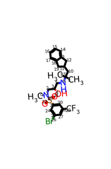 CN(CC(O)CNC(C)(C)CC1Cc2ccccc2C1)S(=O)(=O)c1cc(Br)cc(C(F)(F)F)c1